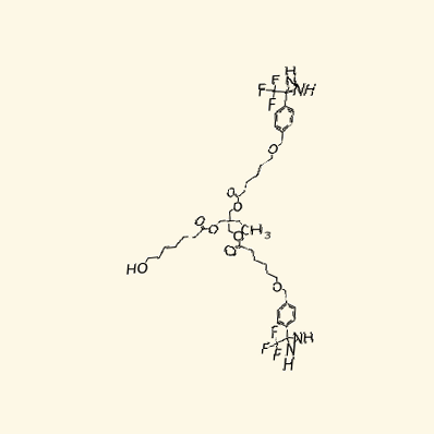 CCC(COC(=O)CCCCCCO)(COC(=O)CCCCCOCc1ccc(C2(C(F)(F)F)NN2)cc1)COC(=O)CCCCCOCc1ccc(C2(C(F)(F)F)NN2)cc1